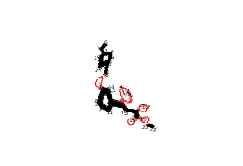 C=Cc1ccc(COc2cccc(C(=O)CC(=O)C(=O)OCC)c2)cc1